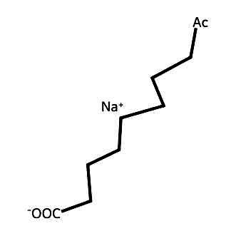 CC(=O)CCCCCCCC(=O)[O-].[Na+]